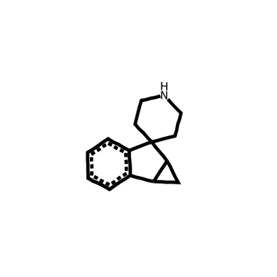 c1ccc2c(c1)C1CC1C21CCNCC1